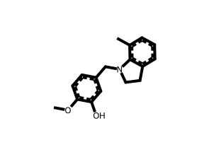 COc1ccc(CN2CCc3cccc(C)c32)cc1O